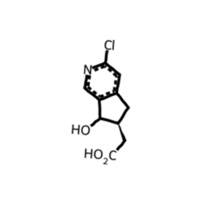 O=C(O)C[C@@H]1Cc2cc(Cl)ncc2C1O